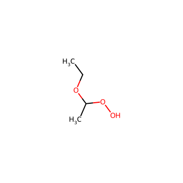 CCOC(C)OO